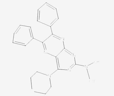 CN(C)c1nc(N2CCOCC2)c2nc(-c3ccccc3)c(-c3ccccc3)nc2n1